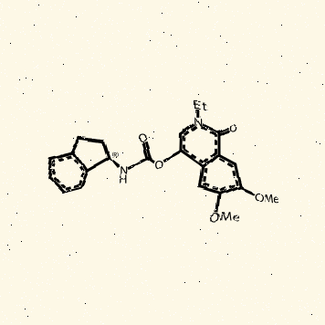 CCn1cc(OC(=O)N[C@@H]2CCc3ccccc32)c2cc(OC)c(OC)cc2c1=O